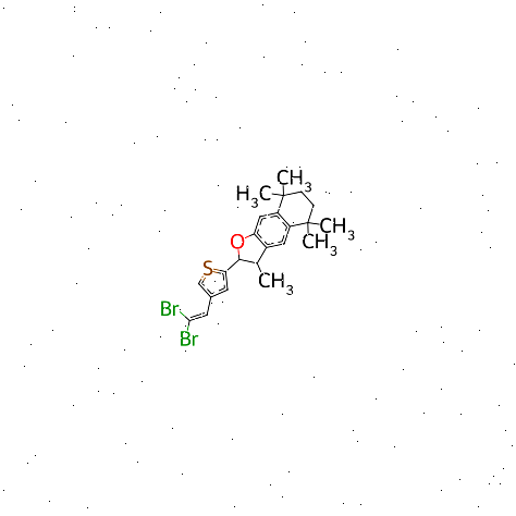 CC1c2cc3c(cc2OC1c1cc(C=C(Br)Br)cs1)C(C)(C)CCC3(C)C